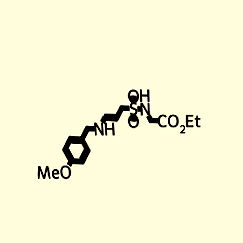 CCOC(=O)CNS(=O)(=O)CC=CNCc1ccc(OC)cc1